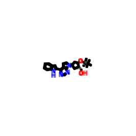 CC(C)(C)[Si](C)(C)O[C@@H]1C[C@H](n2ccc3c(-c4cc5ccccc5[nH]4)ncnc32)C[C@H]1CO